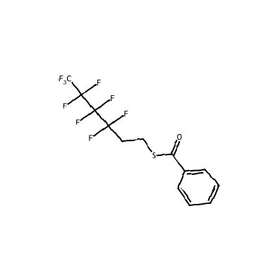 O=C(SCCC(F)(F)C(F)(F)C(F)(F)C(F)(F)F)c1ccccc1